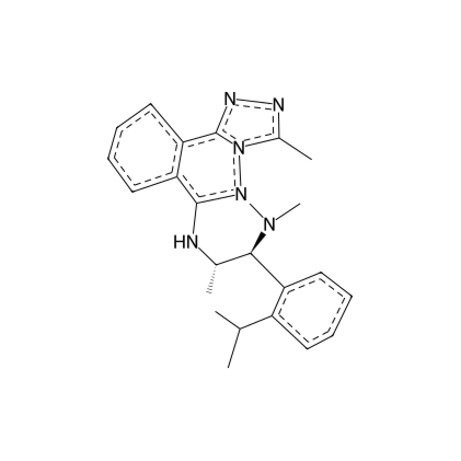 Cc1nnc2c3ccccc3c(N[C@@H](C)[C@H](c3ccccc3C(C)C)N(C)C)nn12